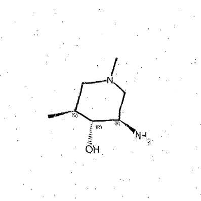 C[C@H]1CN(C)C[C@@H](N)[C@@H]1O